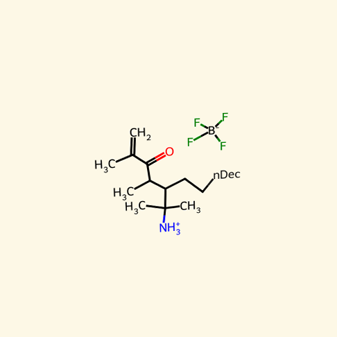 C=C(C)C(=O)C(C)C(CCCCCCCCCCCC)C(C)(C)[NH3+].F[B-](F)(F)F